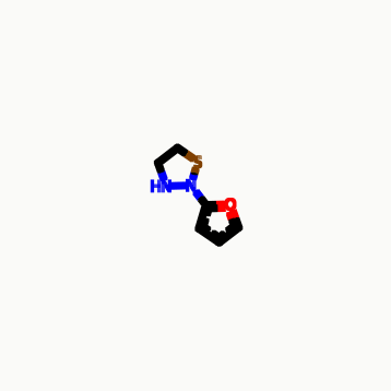 c1coc(N2NCCS2)c1